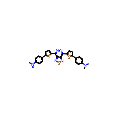 CN(C)c1ccc(-c2ccc(-c3nnc(-c4ccc(-c5ccc(N(C)C)cc5)s4)c4nsnc34)s2)cc1